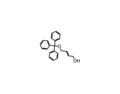 OCC=CCOC(c1ccccc1)(c1ccccc1)c1ccccc1